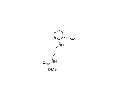 COC(=O)NCCCNc1ccccc1OC